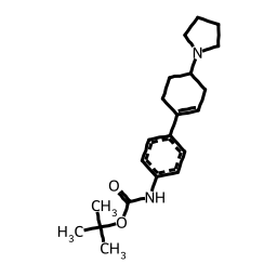 CC(C)(C)OC(=O)Nc1ccc(C2=CCC(N3CCCC3)CC2)cc1